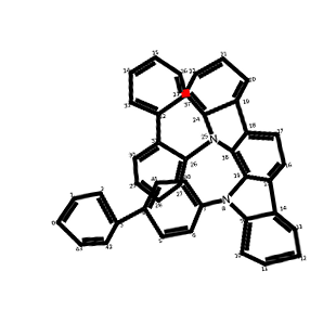 c1ccc(-c2ccc(-n3c4ccccc4c4ccc5c6ccccc6n(-c6ccccc6-c6ccccc6)c5c43)cc2)cc1